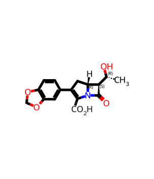 C[C@@H](O)[C@H]1C(=O)N2C(C(=O)O)=C(c3ccc4c(c3)OCO4)C[C@H]12